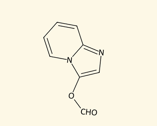 O=COc1cnc2ccccn12